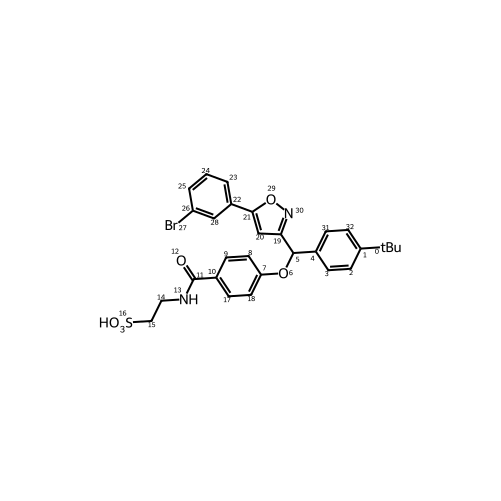 CC(C)(C)c1ccc(C(Oc2ccc(C(=O)NCCS(=O)(=O)O)cc2)c2cc(-c3cccc(Br)c3)on2)cc1